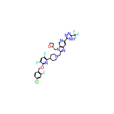 Fc1cc(Cl)ccc1COc1nc(C2CCN(Cc3nc4cc(-c5nnc(C(F)(F)F)[nH]5)ncc4n3C[C@@H]3CCO3)CC2)c(F)cc1F